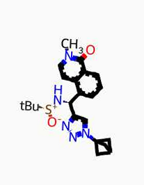 Cn1ccc2c([C@@H](N[S@+]([O-])C(C)(C)C)c3cn(C45CC(C4)C5)nn3)cccc2c1=O